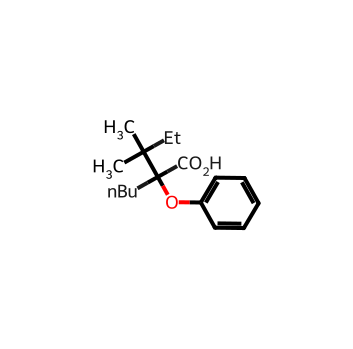 CCCCC(Oc1ccccc1)(C(=O)O)C(C)(C)CC